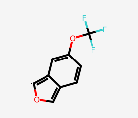 FC(F)(F)Oc1ccc2co[c]c2c1